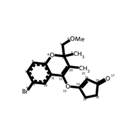 COCC1(C)Oc2ccc(Br)cc2C(OC2=CC(=O)CC2)=C1C